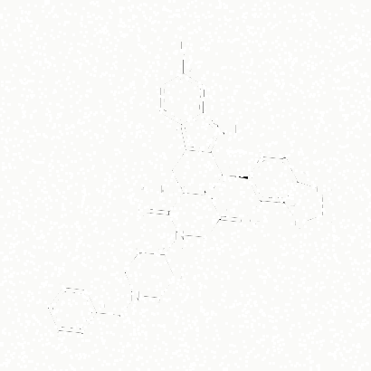 O=C1[C@H]2Cc3c([nH]c4cc(F)ccc34)[C@@H](c3ccc4c(c3)OCO4)N2C(=O)CN1C1CCN(Cc2ccccc2)CC1